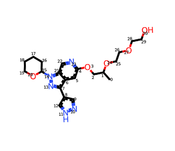 CC(COc1cc2c(-c3cn[nH]c3)nn(C3CCCCO3)c2cn1)OCCOCCO